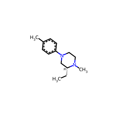 CC[C@@H]1CN(c2ccc(C)cc2)CCN1C